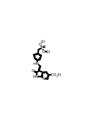 CCOC(=O)c1cnc2c(c1)C(=CNc1ccc(CP(=O)(OCC)OCC)cc1)C(=O)N2